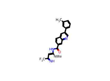 CN/C(=C\C(=N)C(F)(F)F)NC(=O)c1ccc2cc(-c3cccc(C)c3)cnc2c1